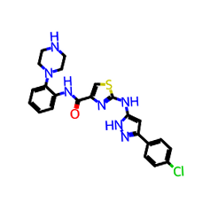 O=C(Nc1ccccc1N1CCNCC1)c1csc(Nc2cc(-c3ccc(Cl)cc3)n[nH]2)n1